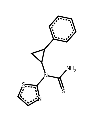 NC(=S)N(c1nccs1)C1CC1c1ccccc1